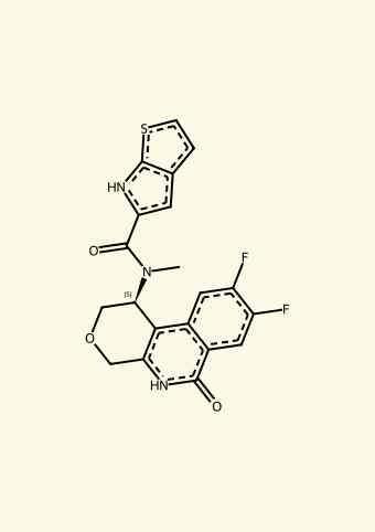 CN(C(=O)c1cc2ccsc2[nH]1)[C@@H]1COCc2[nH]c(=O)c3cc(F)c(F)cc3c21